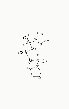 CC(Cl)(OC(=O)OC(C)(Cl)C1CCCC1)C1CCCC1